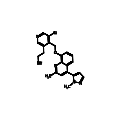 Cc1cc(-c2ccnn2C)c2cccc(OCc3c(Cl)cncc3CCO)c2n1